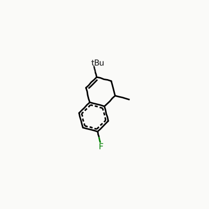 CC1CC(C(C)(C)C)=Cc2ccc(F)cc21